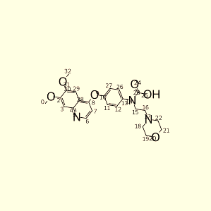 COc1cc2nccc(Oc3ccc(N(CCN4CCOCC4)C(=O)O)cc3)c2cc1OC